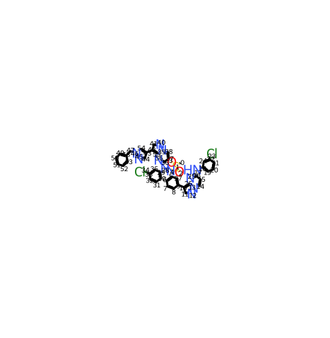 CS(=O)(=O)N(c1cccc(-c2cnn3ccc(Nc4cccc(Cl)c4)nc23)c1)N(c1cccc(Cl)c1)c1ccn2ncc(-c3cnn(Cc4ccccc4)c3)c2n1